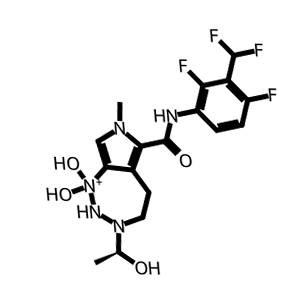 C[C@H](O)N1CCc2c(cn(C)c2C(=O)Nc2ccc(F)c(C(F)F)c2F)[N+](O)(O)N1